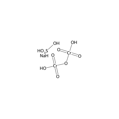 O=S(=O)(O)O.[NaH].[O]=[Cr](=[O])([OH])[O][Cr](=[O])(=[O])[OH]